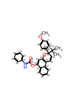 COc1ccc(C2(C(C)(C)C)C=Cc3c(cc(OC(=O)Nc4ccccc4)c4ccccc34)O2)cc1